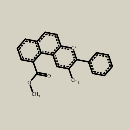 COC(=O)c1cccc2ccc3[o+]c(-c4ccccc4)c(C)cc3c12